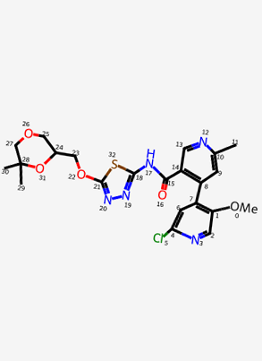 COc1cnc(Cl)cc1-c1cc(C)ncc1C(=O)Nc1nnc(OCC2COCC(C)(C)O2)s1